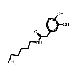 CCCCCCNC(=O)Cc1ccc(O)c(O)c1